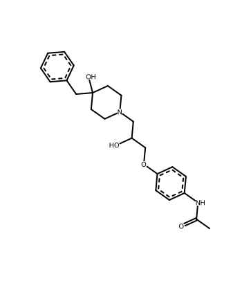 CC(=O)Nc1ccc(OCC(O)CN2CCC(O)(Cc3ccccc3)CC2)cc1